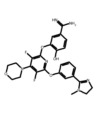 CN1CCN=C1c1cccc(Oc2nc(Oc3cc(C(=N)N)ccc3O)c(F)c(N3CCOCC3)c2F)c1